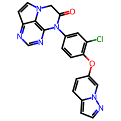 O=C1Cn2ccc3ncnc(c32)N1c1ccc(Oc2ccc3ccnn3c2)c(Cl)c1